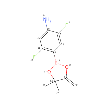 C=C1OB(c2cc(F)c(N)cc2F)OC1(C)C